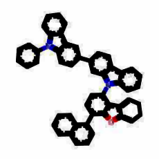 C1=c2oc3c(-c4cccc5ccccc45)ccc(-n4c5ccccc5c5ccc(-c6ccc7c(c6)c6ccccc6n7-c6ccccc6)cc54)c3c2=CCC1